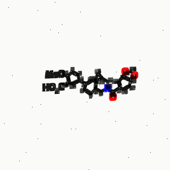 COc1ccc(-c2ccc(CN(CC3CC3)C(=O)c3ccc4c(c3)OCO4)cc2)cc1C(=O)O